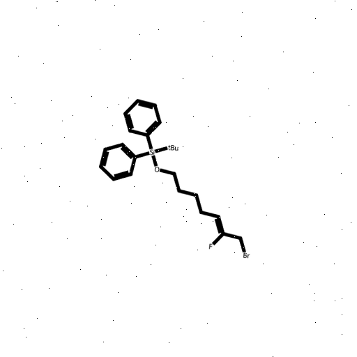 CC(C)(C)[Si](OCCCCC=C(F)CBr)(c1ccccc1)c1ccccc1